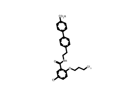 O=C(O)c1ccc(-c2ccc(CCNC(=O)c3cc(Cl)ccc3OCCCC(F)(F)F)cc2)cc1